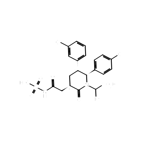 CCC(C(=O)O)N1C(=O)[C@@H](CC(=O)NS(C)(=O)=O)C[C@H](c2cccc(Cl)c2)[C@H]1c1ccc(Cl)cc1